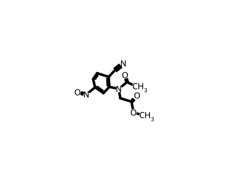 COC(=O)CN(C(C)=O)c1cc(N=O)ccc1C#N